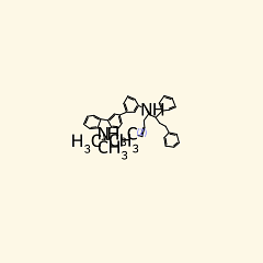 C/C=C\CC(Nc1cccc(-c2ccc3c(c2)c2ccccc2n3C(C)(C)C)c1)C(CCc1ccccc1)c1ccccc1